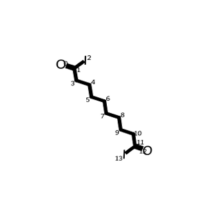 O=C(I)CCCCCCCCC(=O)I